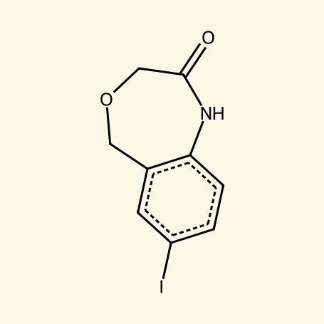 O=C1COCc2cc(I)ccc2N1